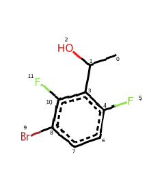 CC(O)c1c(F)ccc(Br)c1F